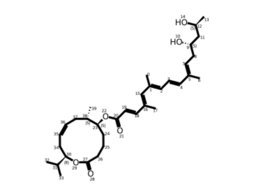 CC(=CC=CC(C)=CC[C@H](O)C[C@H](C)O)C=C(C)C=CC(=O)O[C@H]1CCCC(=O)O[C@@H](C(C)C)CC=CC[C@@H]1C